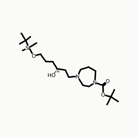 CC(C)(C)OC(=O)N1CCCN(CC[C@H](O)CCCO[Si](C)(C)C(C)(C)C)CC1